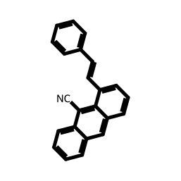 N#Cc1c2ccccc2cc2cccc(C=Cc3ccccc3)c12